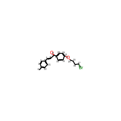 Cc1ccc(C=CC(=O)c2ccc(OCCCCBr)cc2)cc1